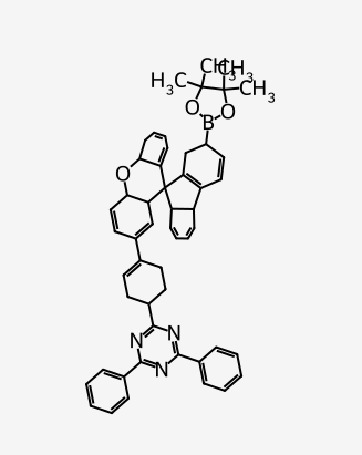 CC1(C)OB(C2C=CC3=C(C2)C2(C4=CC=CCC4OC4C=CC(C5=CCC(c6nc(-c7ccccc7)nc(-c7ccccc7)n6)CC5)=CC42)C2C=CC=CC32)OC1(C)C